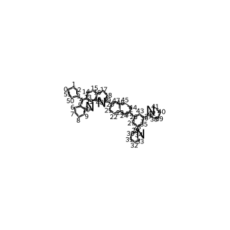 c1ccc(-c2c3ccccc3nc3c2ccc2ccc(-c4ccc5cc(-c6cc(-c7ccccn7)cc(-c7ccccn7)c6)ccc5c4)nc23)cc1